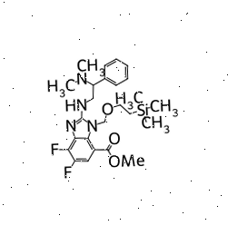 COC(=O)c1cc(F)c(F)c2nc(NCC(c3ccccc3)N(C)C)n(COCC[Si](C)(C)C)c12